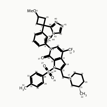 COC1CC(c2cccc(-n3cc(C(F)(F)F)c4cc(CN5CCC[C@H](C)C5)n(S(=O)(=O)c5ccc(C)cc5)c4c3=O)c2)(c2nncn2C)C1